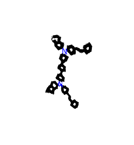 C(=Cc1ccc(N(C2=CCc3ccccc3C2)c2ccc(-c3ccc(-c4ccc(N(c5ccc(C=Cc6ccccc6)cc5)c5ccc6ccccc6c5)cc4)cc3)cc2)cc1)c1ccccc1